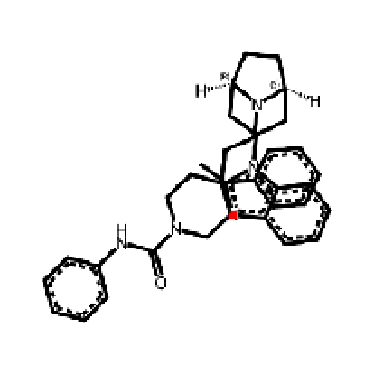 Cc1nc2ccccc2n1C1C[C@H]2CC[C@@H](C1)N2CCC1(c2ccccc2)CCN(C(=O)Nc2ccccc2)CC1